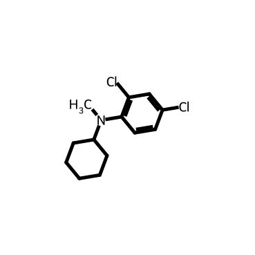 CN(c1ccc(Cl)cc1Cl)C1CCCCC1